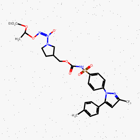 CCOC(=O)OC(C)O/N=[N+](/[O-])N1CCC(COC(=O)NS(=O)(=O)c2ccc(-n3nc(C(F)(F)F)cc3-c3ccc(C)cc3)cc2)C1